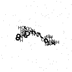 Cc1[nH]nc(Nc2ncnc3cc(OCCCN4CCN(c5cnc(C(=O)N6CCC7CCC(C(=O)N[C@@H]8CCCc9ccccc98)N7C(=O)C(NC(=O)C(C)O)C6)cn5)CC4)c(SC(C)(C)C)cc23)c1C